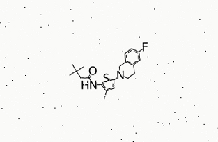 Cc1cc(N2CCc3cc(F)ccc3C2)sc1NC(=O)CC(C)(C)C